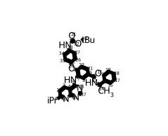 CC(C)c1ccc2c(Nc3cc(C(=O)NC(C)c4ccccc4)ccc3Oc3ccc(NC(=O)OC(C)(C)C)cc3)ncnc2n1